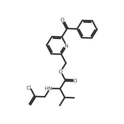 C=C(Cl)CNC(C(=O)OCc1cccc(C(=O)c2ccccc2)n1)C(C)C